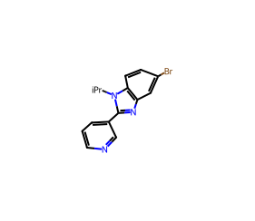 CC(C)n1c(-c2cccnc2)nc2cc(Br)ccc21